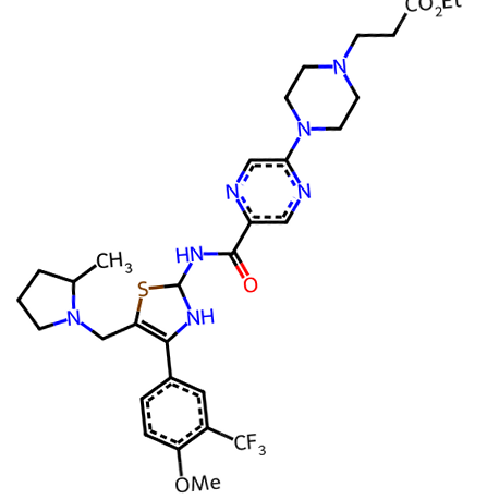 CCOC(=O)CCN1CCN(c2cnc(C(=O)NC3NC(c4ccc(OC)c(C(F)(F)F)c4)=C(CN4CCCC4C)S3)cn2)CC1